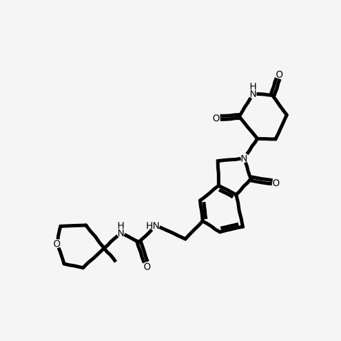 CC1(NC(=O)NCc2ccc3c(c2)CN(C2CCC(=O)NC2=O)C3=O)CCOCC1